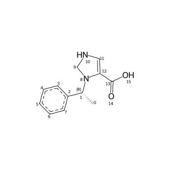 C[C@H](c1ccccc1)N1CNC=C1C(=O)O